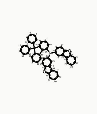 c1ccc(C2(c3ccccc3)c3ccccc3-c3c(N(c4ccc5oc6ccccc6c5c4)c4ccc5oc6ccccc6c5c4)cccc32)cc1